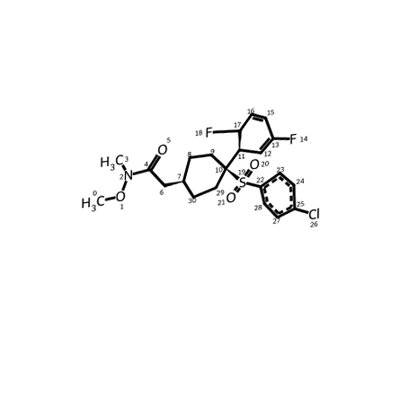 CON(C)C(=O)C[C@H]1CC[C@@]([C@@H]2C=C(F)C=CC2F)(S(=O)(=O)c2ccc(Cl)cc2)CC1